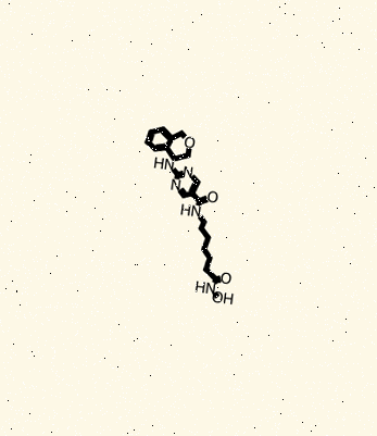 O=C(CCCCCCNC(=O)c1cnc(NC2COCc3ccccc32)nc1)NO